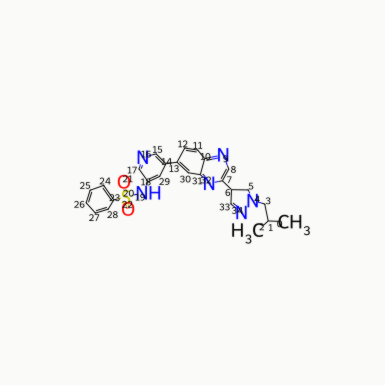 CC(C)CN1CC(c2cnc3ccc(-c4cncc(NS(=O)(=O)c5ccccc5)c4)cc3n2)C=N1